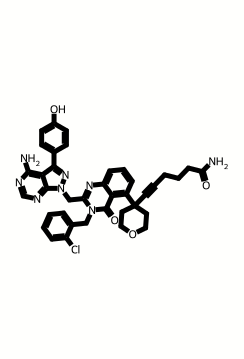 NC(=O)CCCC#CC1(c2cccc3nc(Cn4nc(-c5ccc(O)cc5)c5c(N)ncnc54)n(Cc4ccccc4Cl)c(=O)c23)CCOCC1